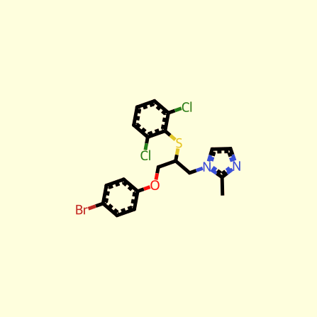 Cc1nccn1CC(COc1ccc(Br)cc1)Sc1c(Cl)cccc1Cl